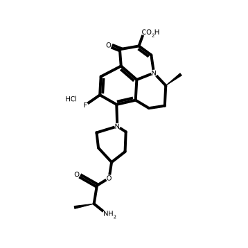 C[C@H](N)C(=O)OC1CCN(c2c(F)cc3c(=O)c(C(=O)O)cn4c3c2CC[C@@H]4C)CC1.Cl